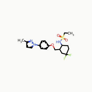 CCS(=O)(=O)NC1CCC(F)(F)CC1COc1ccc(-n2ccc(C)n2)cc1